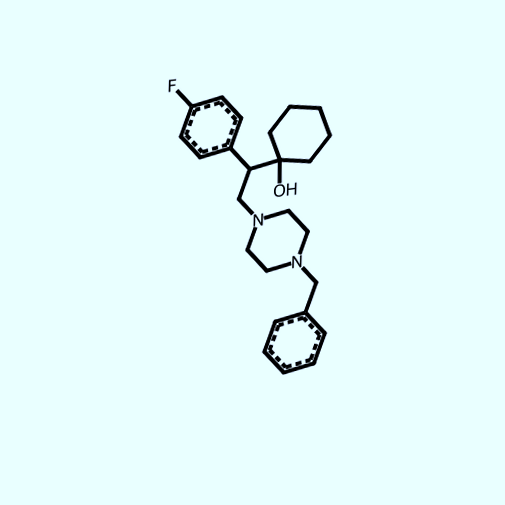 OC1(C(CN2CCN(Cc3ccccc3)CC2)c2ccc(F)cc2)CCCCC1